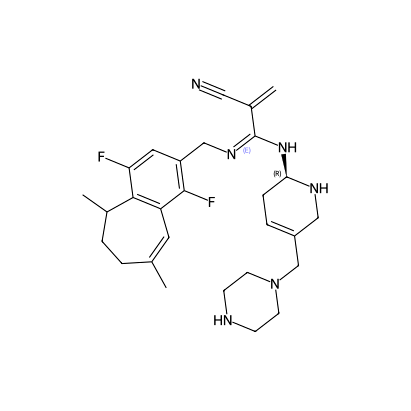 C=C(C#N)/C(=N\Cc1cc(F)c2c(c1F)C=C(C)CCC2C)N[C@@H]1CC=C(CN2CCNCC2)CN1